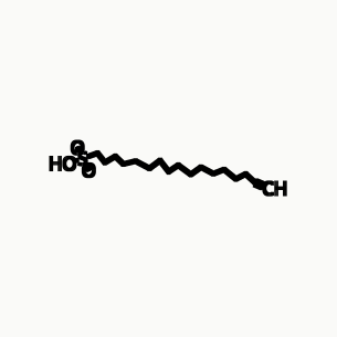 C#CCCCCCCCCCCCCCCCS(=O)(=O)O